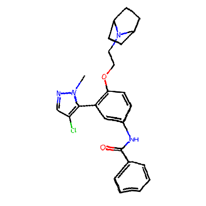 Cn1ncc(Cl)c1-c1cc(NC(=O)c2ccccc2)ccc1OCCN1C2CCC1CC2